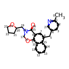 Cc1ccc(Cc2cc3c(c4ccccc24)OCN(CC2CCCO2)C3=O)cn1